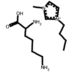 CCCC[n+]1ccn(C)c1.NCCCCC(N)C(=O)O